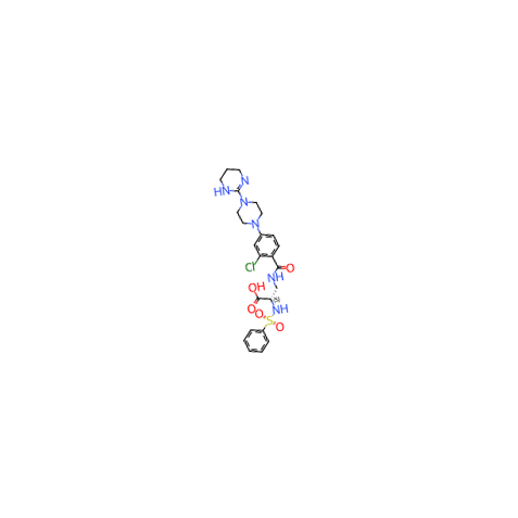 O=C(NC[C@H](NS(=O)(=O)c1ccccc1)C(=O)O)c1ccc(N2CCN(C3=NCCCN3)CC2)cc1Cl